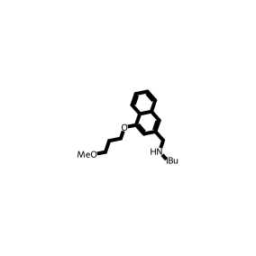 CCC(C)NCC1=CC2C=CC=CC2C(OCCCOC)=C1